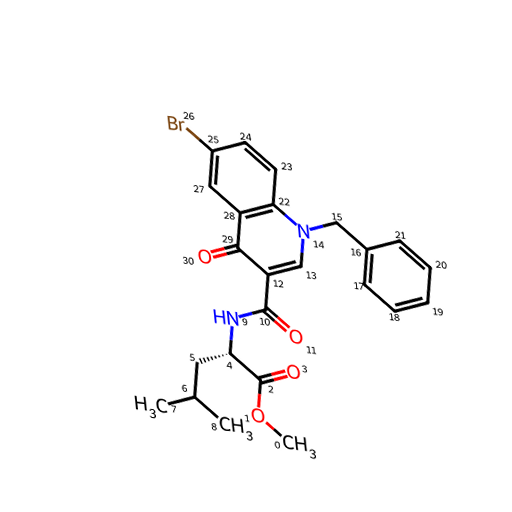 COC(=O)[C@H](CC(C)C)NC(=O)c1cn(Cc2ccccc2)c2ccc(Br)cc2c1=O